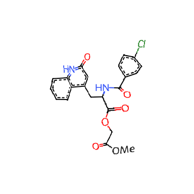 COC(=O)COC(=O)C(Cc1cc(=O)[nH]c2ccccc12)NC(=O)c1ccc(Cl)cc1